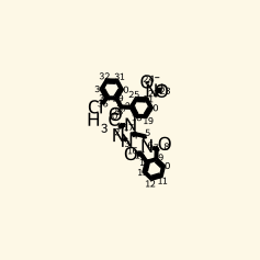 Cc1nnc(CN2C(=O)c3ccccc3C2=O)n1-c1ccc([N+](=O)[O-])cc1C(=O)c1ccccc1Cl